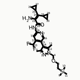 Cc1nn(COCC[Si](C)(C)C)c(C)c1-c1cnc(NC(=O)C(N)=C(C2CC2)C2CC2)cc1C(F)F